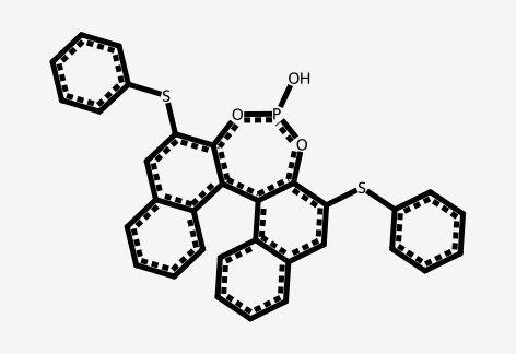 Op1oc2c(Sc3ccccc3)cc3ccccc3c2c2c(o1)c(Sc1ccccc1)cc1ccccc12